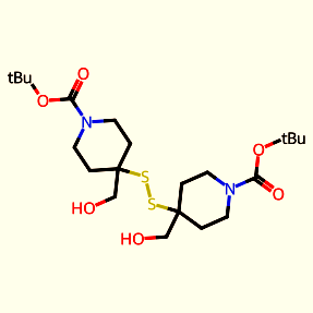 CC(C)(C)OC(=O)N1CCC(CO)(SSC2(CO)CCN(C(=O)OC(C)(C)C)CC2)CC1